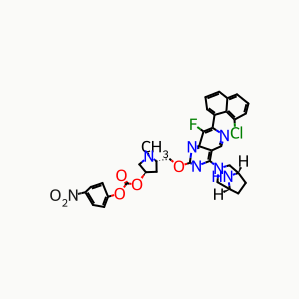 CN1C[C@H](OC(=O)Oc2ccc([N+](=O)[O-])cc2)C[C@H]1COc1nc(N2C[C@H]3CC[C@@H](C2)N3)c2cnc(-c3cccc4cccc(Cl)c34)c(F)c2n1